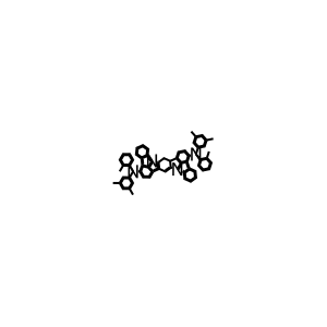 Cc1cc(C)cc(N(c2ccccc2C)c2ccc3c4c2c2ccccc2n4C2=Cc4c(n5c6ccccc6c6c(N(c7cc(C)cc(C)c7)c7ccccc7C)ccc4c65)CC23)c1